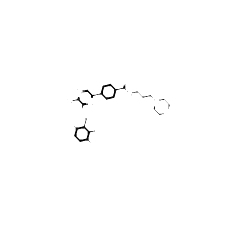 Nc1ncc(-c2ccc(C(=O)NCCCN3CCOCC3)cc2)nc1OCc1c(F)ccc(F)c1Cl